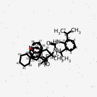 CC(C)c1cccc(C(C)C)c1NC(=O)NC(C)(Cc1ccccc1C(F)(F)F)C(=O)NCC1(c2ccccn2)CCCCC1